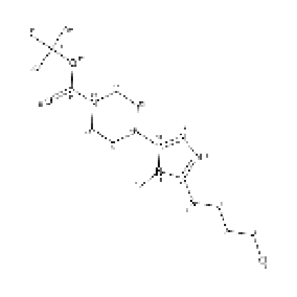 Cn1c(SCCCCl)nnc1C1CCN(C(=O)OC(C)(C)C)CC1